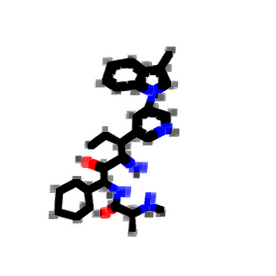 CC[C@H](C(=N)C(=O)[C@@H](NC(=O)[C@H](C)NC)C1CCCCC1)c1cncc(-n2cc(C)c3ccccc32)c1